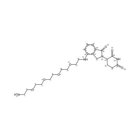 NCCOCCOCCOCCOCCNc1cccc2c1CN(C1CCC(=O)NC1=O)C2=O